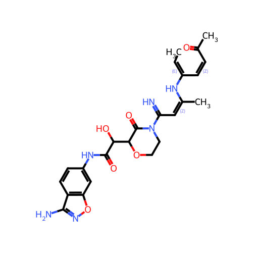 C/C=C(\C=C/C(C)=O)N/C(C)=C\C(=N)N1CCOC(C(O)C(=O)Nc2ccc3c(N)noc3c2)C1=O